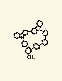 Cc1cccc(-c2ccc(-c3cccc(-c4ccnc(-n5c6ccccc6c6cc(-c7ccc8c9ccccc9n(-c9ccccc9)c8c7)ccc65)n4)c3)cc2)c1